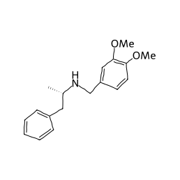 COc1ccc(CN[C@@H](C)Cc2ccccc2)cc1OC